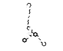 O=C(NC(C(=O)N1CC[C@@H](OCCOCCOCCOC2CCCCO2)C1)c1ccc(OCCOC2CCCCO2)cc1)OCc1ccccc1